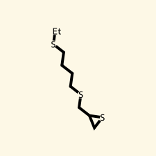 CCSCCCCSCC1CS1